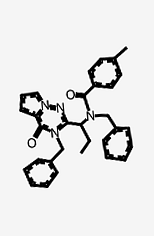 CCC(c1nn2cccc2c(=O)n1Cc1ccccc1)N(Cc1ccccc1)C(=O)c1ccc(C)cc1